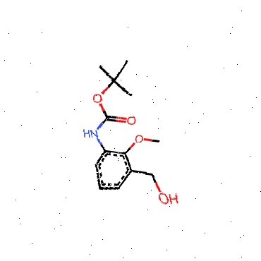 COc1c(CO)cccc1NC(=O)OC(C)(C)C